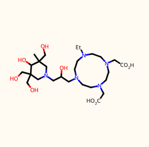 CCN1CCN(CC(=O)O)CCN(CC(=O)O)CCN(CC(O)CN2CC(C)(CO)C(O)C(CO)(CO)C2)CC1